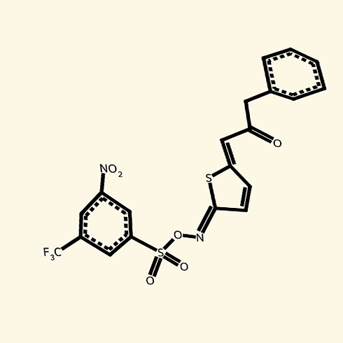 O=C(C=C1C=CC(=NOS(=O)(=O)c2cc([N+](=O)[O-])cc(C(F)(F)F)c2)S1)Cc1ccccc1